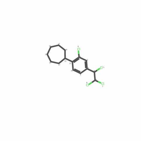 Clc1cc(C(Cl)C(Cl)Cl)ccc1C1CCCCCC1